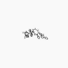 O=CNC1CCCN(S(=O)(=O)c2nccs2)CC1=O